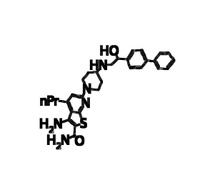 CCCc1cc(N2CCC(NCC(O)c3ccc(-c4ccccc4)cc3)CC2)nc2sc(C(N)=O)c(N)c12